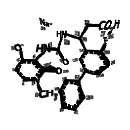 Cn1ccc([O-])c(NC(=O)N[C@@H](CC(=O)O)c2cc(-c3ccccc3)ccc2F)c1=O.[Na+]